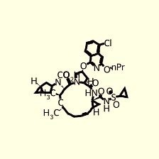 CCCOc1cc2c(Cl)cccc2c(O[C@@H]2C[C@H]3C(=O)N[C@]4(C(=O)NS(=O)(=O)C5CC5)C[C@H]4/C=C\CC[C@H](C)C[C@@H](C)[C@H](N(C(=O)O)C4CC5C[C@H]5C4)C(=O)N3C2)n1